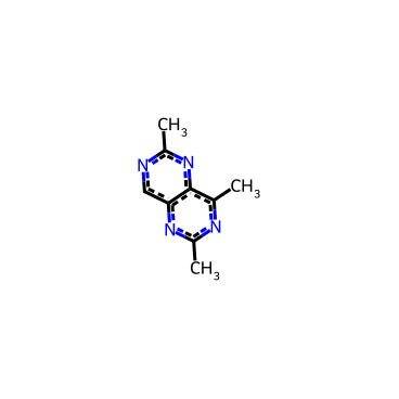 Cc1nc(C)c2nc(C)ncc2n1